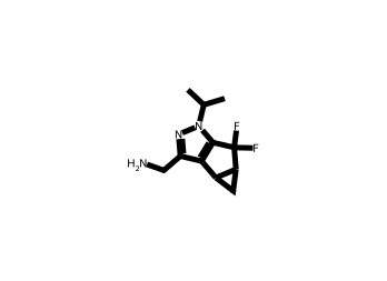 CC(C)n1nc(CN)c2c1C(F)(F)C1CC21